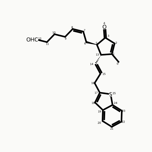 CC1=CC(=O)[C@H](C/C=C\CCCC=O)[C@H]1/C=C/Cc1cc2ccccc2s1